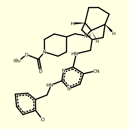 CC(C)(C)OC(=O)N1CCC(CN[C@@H]2[C@@H]3CCC[C@H]2CC(CNc2nc(NCc4ccccc4Cl)ncc2C#N)C3)CC1